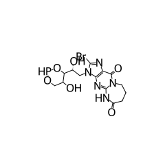 O=C1CCCn2c(nc3c(nc(Br)n3C[C@@H](O)C3OPOCC3O)c2=O)N1